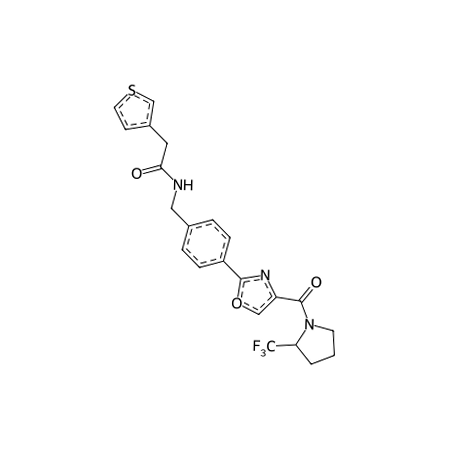 O=C(Cc1ccsc1)NCc1ccc(-c2nc(C(=O)N3CCCC3C(F)(F)F)co2)cc1